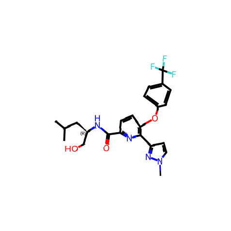 CC(C)C[C@H](CO)NC(=O)c1ccc(Oc2ccc(C(F)(F)F)cc2)c(-c2ccn(C)n2)n1